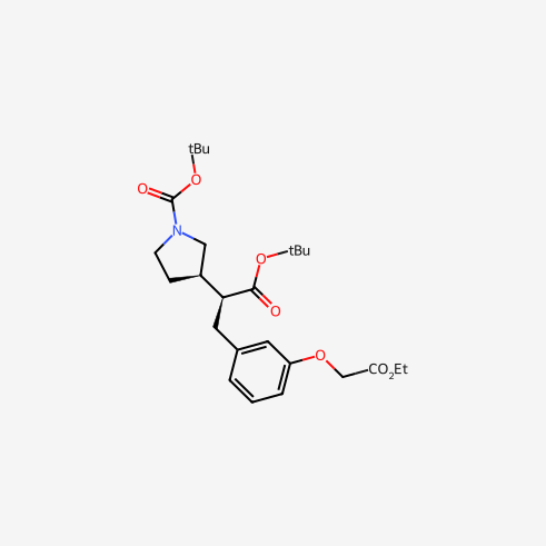 CCOC(=O)COc1cccc(C[C@H](C(=O)OC(C)(C)C)[C@H]2CCN(C(=O)OC(C)(C)C)C2)c1